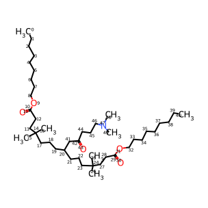 CCCCCCCCCOC(=O)CCC(C)(C)CCCC(CCCC(C)(C)CCC(=O)OCCCCCCCCC)CC(=O)CCCN(C)C